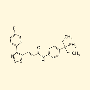 CCC(P)(CC)c1ccc(NC(=O)/C=C/c2snnc2-c2ccc(F)cc2)cc1